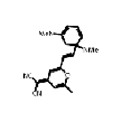 CNC1=CC=CC(C=CC2=CC(=C(C#N)C#N)C=C(C)O2)(NC)C1